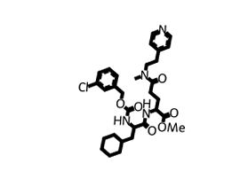 COC(=O)C(CCC(=O)N(C)CCc1ccncc1)NC(=O)C(CC1CCCCC1)NC(=O)OCc1cccc(Cl)c1